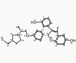 CC1=C(c2cccc(O)c2)[C@@H](c2ccc(OC[C@H](C)N3CC[C@@H](CF)C3)cc2)Oc2ccc(O)cc21